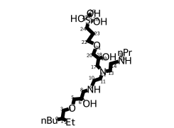 CCCCC(CC)COCC(O)CNCCN(CCNCCC)CC(O)COCCC[Si](O)(O)O